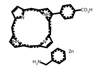 NCc1ccccc1.O=C(O)c1ccc(-c2cc3cc4nc(cc5ccc(cc6nc(cc2[nH]3)C=C6)[nH]5)C=C4)cc1.[Zn]